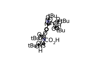 Cn1c(-c2ccc(OC[C@H](O/N=C(\C(=O)O)c3csc(NC(=O)OC(C)(C)C)n3)C(=O)OC(C)(C)C)cc2)cn(CC(CNC(=O)OC(C)(C)C)CNC(=O)OC(C)(C)C)/c1=N\C(=O)OC(C)(C)C